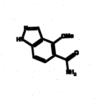 COc1c(C(N)=O)ccc2[nH]ncc12